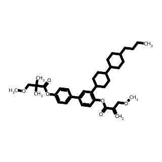 C=C(COC)C(=O)Oc1ccc(-c2ccc(OC(=O)C(C)(C)COC)cc2)cc1C1CCC(C2CCC(CCCC)CC2)CC1